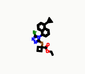 CCOC(=O)C1(Sc2nnc(Br)n2-c2cccc3c(C4CC4)cccc23)CCC1